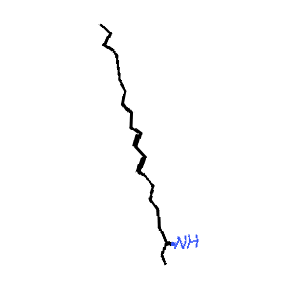 CCCCCCCCC/C=C/C=C/CCCCC(=N)CC